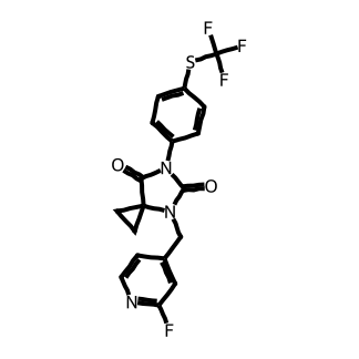 O=C1N(c2ccc(SC(F)(F)F)cc2)C(=O)C2(CC2)N1Cc1ccnc(F)c1